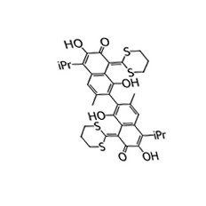 Cc1cc2c(c(O)c1-c1c(C)cc3c(c1O)C(=C1SCCCS1)C(=O)C(O)=C3C(C)C)C(=C1SCCCS1)C(=O)C(O)=C2C(C)C